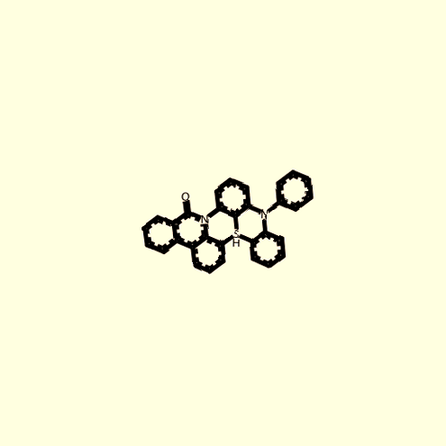 O=c1c2ccccc2c2cccc3c2n1-c1cccc2c1[SH]3c1ccccc1N2c1ccccc1